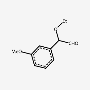 CCOC(C=O)c1cccc(OC)c1